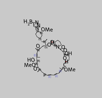 Bc1cn([C@H]2CC[C@@H](C[C@@H](C)[C@@H]3CC(=O)[C@H](C)/C=C(\C)[C@@H](O)[C@@H](OC)C(=O)[C@H](C)C[C@H](C)/C=C/C=C/C=C(\C)[C@@H](OC)C[C@@H]4CC[C@@H](C)[C@@](O)(O4)C(=O)C(=O)N4CCCC[C@H]4C(=O)O3)C[C@H]2OC)nn1